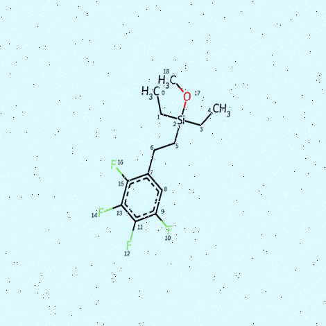 CC[Si](CC)(CCc1cc(F)c(F)c(F)c1F)OC